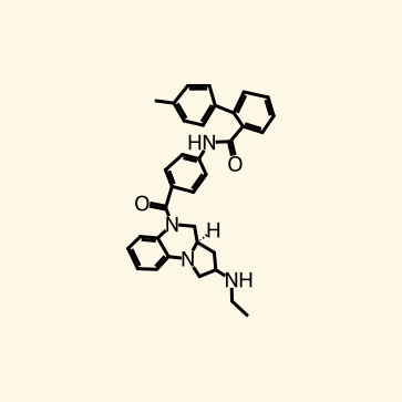 CCNC1C[C@@H]2CN(C(=O)c3ccc(NC(=O)c4ccccc4-c4ccc(C)cc4)cc3)c3ccccc3N2C1